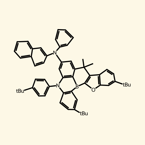 CC(C)(C)c1ccc(N2c3ccc(C(C)(C)C)cc3B3c4oc5cc(C(C)(C)C)ccc5c4C(C)(C)c4cc(N(c5ccccc5)c5ccc6ccccc6c5)cc2c43)cc1